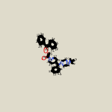 CC(C)(C)N1CCN(C(c2ccccc2)C2CCN(C(=O)COC(c3ccccc3)c3ccccc3)CC2)CC1